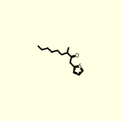 CCCCCCC(C)C(=O)Cc1cccs1